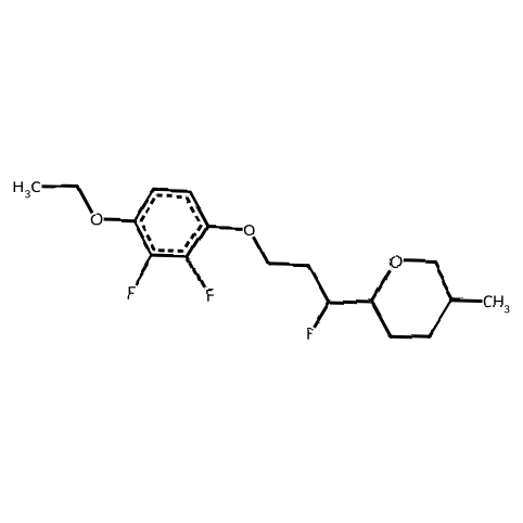 CCOc1ccc(OCCC(F)C2CCC(C)CO2)c(F)c1F